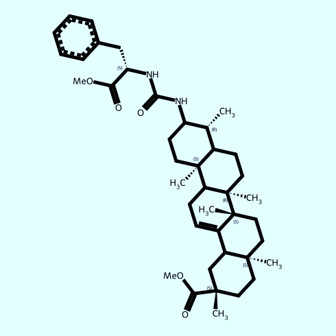 COC(=O)[C@H](Cc1ccccc1)NC(=O)NC1CC[C@@]2(C)C(CC[C@]3(C)C2CC=C2C4C[C@@](C)(C(=O)OC)CC[C@]4(C)CC[C@]23C)[C@H]1C